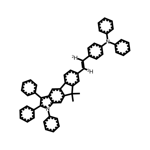 [2H]/C(=C(/[2H])c1ccc2c(c1)C(C)(C)c1cc3c(cc1-2)c(-c1ccccc1)c(-c1ccccc1)n3-c1ccccc1)c1ccc(N(c2ccccc2)c2ccccc2)cc1